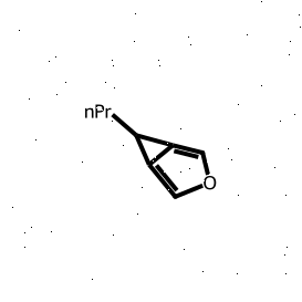 CCCC1c2cocc21